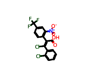 O=C(O)C(=C(Cl)c1ccccc1Cl)c1ccc(C(F)(F)F)cc1[N+](=O)[O-]